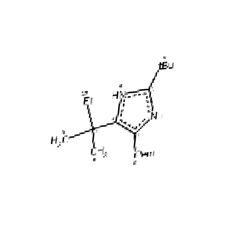 CCCC(C)c1nc(C(C)(C)C)[nH]c1C(C)(C)CC